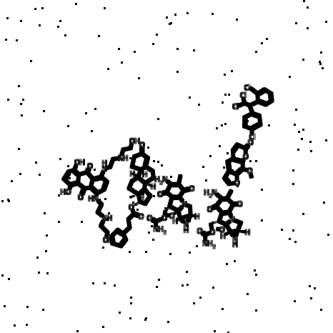 CO[C@@]12[C@H](COC(N)=O)C3=C(C(=O)C(C)=C(N)C3=O)N1C[C@@H]1N[C@@H]12.CO[C@@]12[C@H](COC(N)=O)C3=C(C(=O)C(C)=C(N)C3=O)N1C[C@@H]1N[C@@H]12.COc1c2occc2cc2ccc(=O)oc12.C[C@]12CC[C@H]3[C@@H](CCC4=CC(=O)CC[C@@H]43)[C@@H]1CC[C@@H]2OC(=O)CCc1ccccc1.Clc1ccc(C(c2ccccc2Cl)C(Cl)Cl)cc1.O=C1c2c(O)ccc(O)c2C(=O)c2c(NCCNCCO)ccc(NCCNCCO)c21